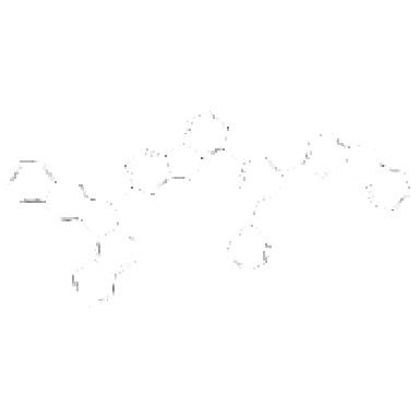 c1ccc(-c2nc(-c3ccc4oc5ccccc5c4c3)nc(-c3cccc4c3oc3cc(-n5c6cc7ccccc7cc6c6c7ccccc7ccc65)ccc34)n2)cc1